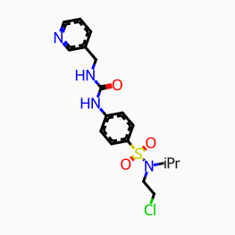 CC(C)N(CCCl)S(=O)(=O)c1ccc(NC(=O)NCc2cccnc2)cc1